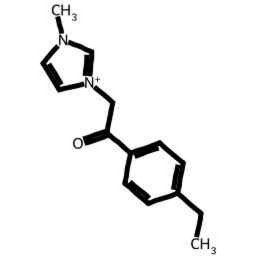 CCc1ccc(C(=O)C[n+]2ccn(C)c2)cc1